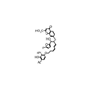 CCCc1c(OCC/C=C\C=C\[C@H](Sc2ccc3c(=O)cc(C(=O)O)oc3c2)[C@H](O)c2ccc(F)o2)ccc(C(C)=O)c1O